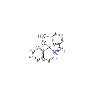 Cc1ccccc1C1(C)c2ncccc2C=CN1C